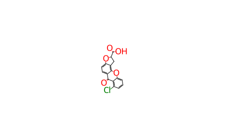 O=C(O)C1Cc2c(ccc3c(=O)c4c(Cl)cccc4oc23)O1